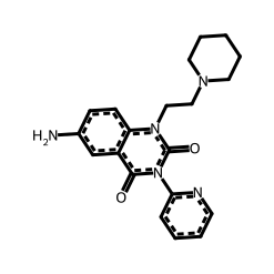 Nc1ccc2c(c1)c(=O)n(-c1ccccn1)c(=O)n2CCN1CCCCC1